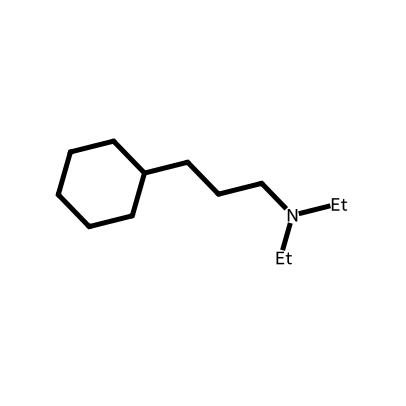 CCN(CC)CCCC1CCCCC1